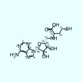 Nc1ncnc2c1ncn2[C@@H]1O[C@H](CNC(CCS)C(=O)O)[C@@H](O)[C@H]1O